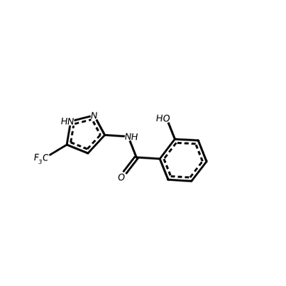 O=C(Nc1cc(C(F)(F)F)[nH]n1)c1ccccc1O